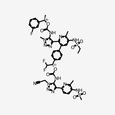 CCS(=O)(=O)Nc1cc(-c2ccc([C@H](OC(=O)Nc3c(-c4ccc(NS(C)(=O)=O)c(C)n4)nnn3CC#N)C(F)F)cc2)c(-c2nnn(C)c2NC(=O)O[C@H](C)c2cccc(F)c2)nc1C